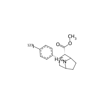 COC(=O)[C@@H]1C2CCC(C[C@@H]1c1ccc([123I])cc1)N2C